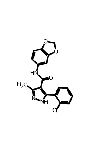 Cc1n[nH]c(-c2ccccc2Cl)c1C(=O)Nc1ccc2c(c1)OCO2